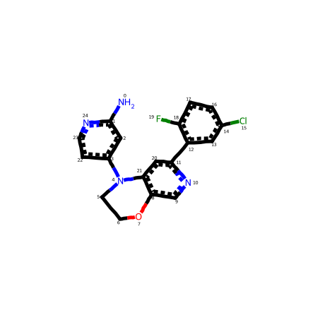 Nc1cc(N2CCOc3cnc(-c4cc(Cl)ccc4F)cc32)ccn1